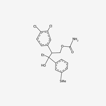 CCC(O)(c1cccc(SC)c1)C(COC(N)=O)c1ccc(Cl)c(Cl)c1